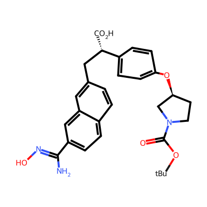 CC(C)(C)OC(=O)N1CC[C@H](Oc2ccc([C@H](Cc3ccc4ccc(C(N)=NO)cc4c3)C(=O)O)cc2)C1